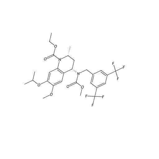 CCOC(=O)N1c2cc(OC(C)C)c(OC)cc2[C@@H](N(Cc2cc(C(F)(F)F)cc(C(F)(F)F)c2)C(=O)OC)C[C@H]1C